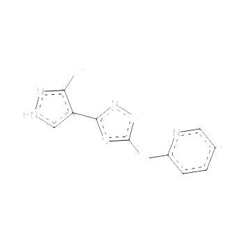 FC(F)(F)c1n[nH]cc1-c1nsc(Oc2ccccn2)n1